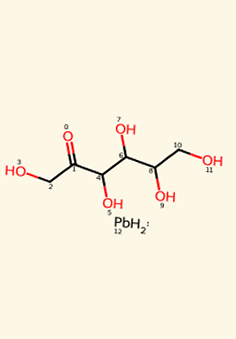 O=C(CO)C(O)C(O)C(O)CO.[PbH2]